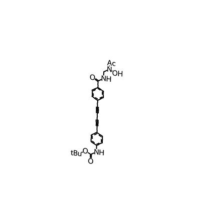 CC(=O)N(O)CNC(=O)c1ccc(C#CC#Cc2ccc(NC(=O)OC(C)(C)C)cc2)cc1